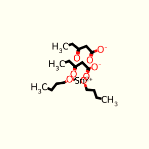 CCC(=O)CC(=O)[O-].CCC(=O)CC(=O)[O-].CCCC[O][Sn+2][O]CCCC